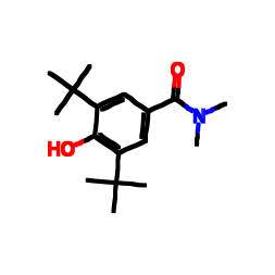 CN(C)C(=O)c1cc(C(C)(C)C)c(O)c(C(C)(C)C)c1